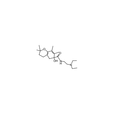 CCN(CC)CCNC(=O)C1(O)CC2=C(OC(C)(C)CC2)C(C)=C1C